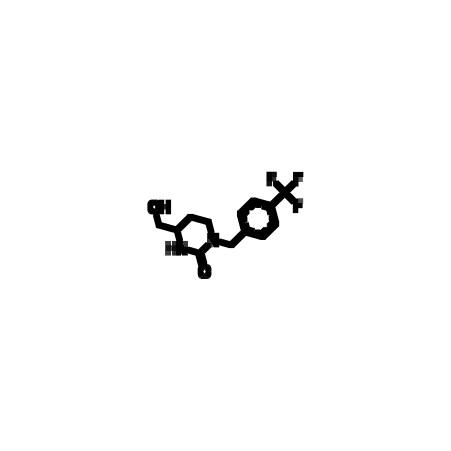 O=C1NC(CO)CCN1Cc1ccc(C(F)(F)F)cc1